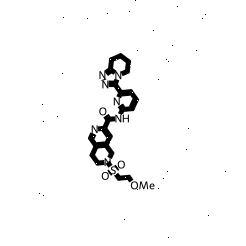 COCCS(=O)(=O)N1CCc2cnc(C(=O)Nc3cccc(-c4nnc5n4CCCC5)n3)cc2C1